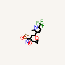 Cc1nc(C(F)(F)F)ccc1C(=O)Cc1c([S+](C)[O-])noc1C1CC1